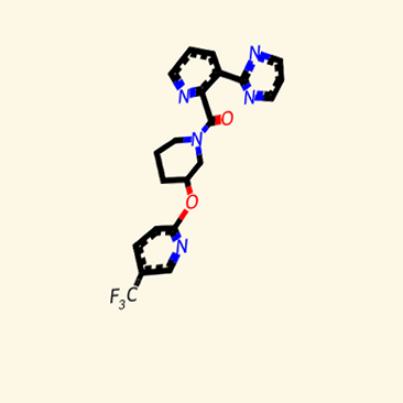 O=C(c1ncccc1-c1ncccn1)N1CCCC(Oc2ccc(C(F)(F)F)cn2)C1